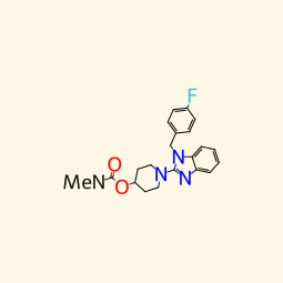 CNC(=O)OC1CCN(c2nc3ccccc3n2Cc2ccc(F)cc2)CC1